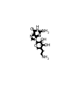 NCCC1COC(n2cnc3c(=O)[nH]c(N)nc32)C(O)C1O